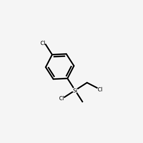 C[Si](Cl)(CCl)c1ccc(Cl)cc1